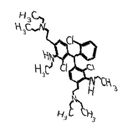 CCNc1c(CCN(CC)CC)ccc(C(c2ccccc2Cl)c2ccc(CCN(CC)CC)c(NCC)c2Cl)c1Cl